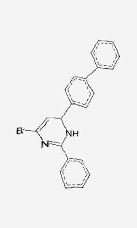 BrC1=CC(c2ccc(-c3ccccc3)cc2)NC(c2ccccc2)=N1